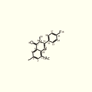 CC(=O)c1cc(C)cc2c(=O)n(C)c(-c3ccc(F)cc3)nc12